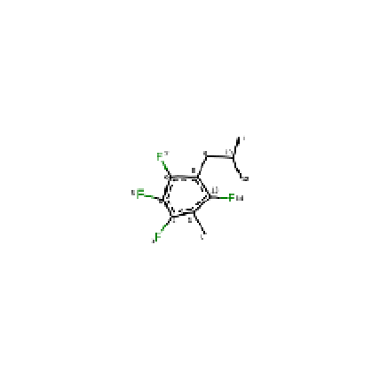 Cc1c(F)c(F)c(F)c(CC(C)C)c1F